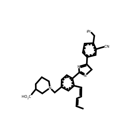 C/C=C\C=C/c1cc(CN2CCCC(C(=O)O)C2)ccc1C1=NCC(c2ccc(CC(C)C)c(C#N)c2)=N1